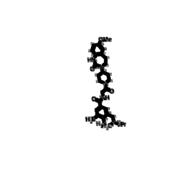 Bc1cc(C(=O)NCC(=O)N2CCC(N3CCc4cc(OC)ccc4NC3=O)CC2)cc(CN(C)CCC)c1N